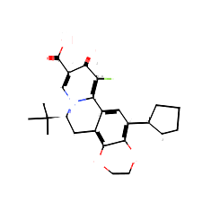 CC(C)(C)[C@@H]1Cc2c(cc(C3CCCC3)c3c2OCCO3)-c2c(F)c(=O)c(C(=O)O)cn21